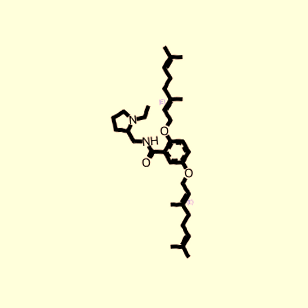 CCN1CCCC1CNC(=O)c1cc(OC/C=C(\C)CCC=C(C)C)ccc1OC/C=C(\C)CCC=C(C)C